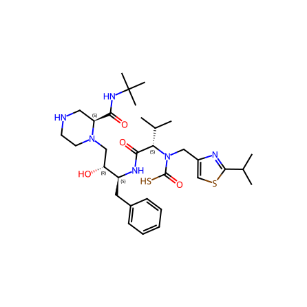 CC(C)c1nc(CN(C(=O)S)[C@H](C(=O)N[C@@H](Cc2ccccc2)[C@H](O)CN2CCNC[C@H]2C(=O)NC(C)(C)C)C(C)C)cs1